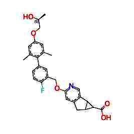 Cc1cc(OC[C@H](C)O)cc(C)c1-c1ccc(F)c(COc2cc3c(cn2)C2C(C3)C2C(=O)O)c1